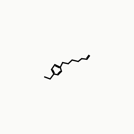 C=CCCCCCc1ccc(CC)cc1